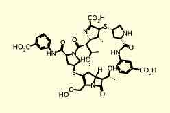 C[C@@H](O)[C@@H](C(=O)N1C[C@@H](SC2=C(COO)N3C(=O)[C@H]([C@@H](C)O)[C@H]3[C@H]2C)C[C@H]1C(=O)Nc1cccc(C(=O)O)c1)[C@@H]1N=C(C(=O)O)C(S[C@@H]2CN[C@H](C(=O)Nc3cccc(C(=O)O)c3)C2)[C@@H]1C